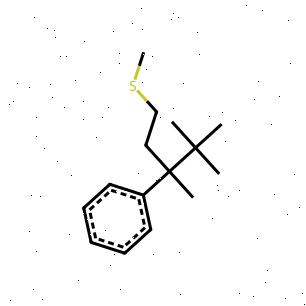 CSCCC(C)(c1ccccc1)C(C)(C)C